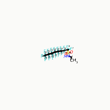 CCNS(=O)(=O)C(F)(F)C(F)(F)C(F)(F)C(F)(F)C(F)(F)C(F)(F)C(F)(F)C(F)(F)F